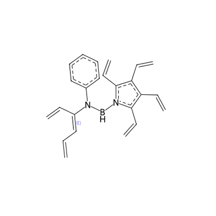 C=C/C=C(\C=C)N(Bn1c(C=C)c(C=C)c(C=C)c1C=C)c1ccccc1